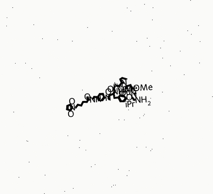 CC[C@H](C)[C@@H]([C@@H](CC(=O)N1CCCC1[C@H](OC)[C@@H](C)C(=O)NC(Cc1ccccc1)C(=O)N(C)c1ccc(CNC(=O)CCCCCN2C(=O)C=CC2=O)cc1)OC)N(C)C(=O)C(N)C(C)C